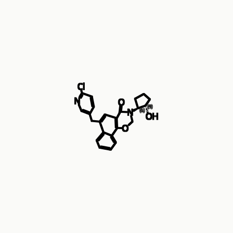 O=C1c2cc(Cc3ccc(Cl)nc3)c3ccccc3c2OCN1[C@H]1CCC[C@@H]1O